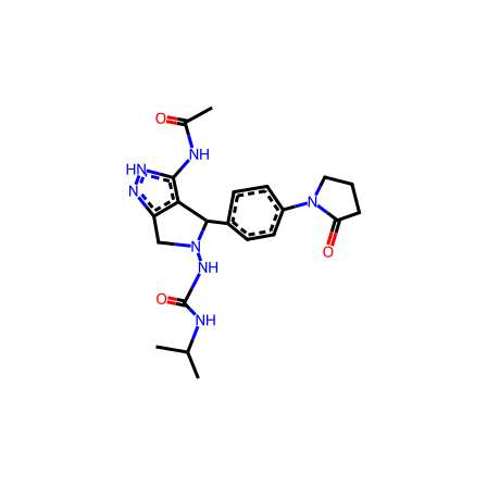 CC(=O)Nc1[nH]nc2c1C(c1ccc(N3CCCC3=O)cc1)N(NC(=O)NC(C)C)C2